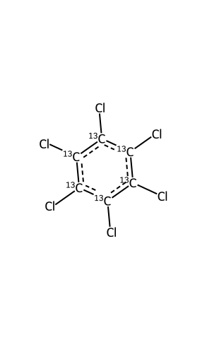 Cl[13c]1[13c](Cl)[13c](Cl)[13c](Cl)[13c](Cl)[13c]1Cl